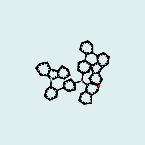 c1ccc(-c2cccc3c2oc2ccccc23)c(-c2ccc(N(c3ccc(-c4ccccc4-n4c5ccccc5c5ccccc54)cc3)c3cccc4ccccc34)cc2)c1